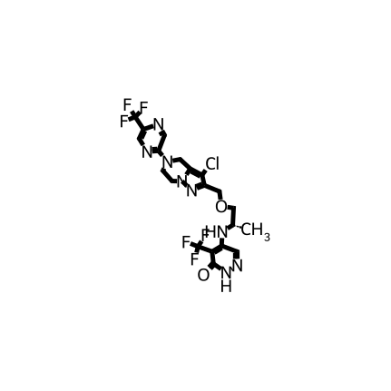 C[C@@H](COCc1nn2c(c1Cl)CN(c1cnc(C(F)(F)F)cn1)CC2)Nc1cn[nH]c(=O)c1C(F)(F)F